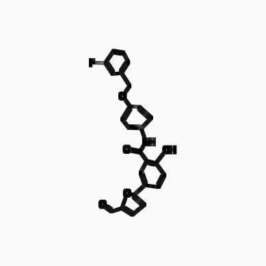 O=Cc1ccc(-c2ccc(O)c(C(=O)Nc3ccc(OCc4cccc(F)c4)cc3)c2)o1